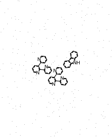 c1ccc(-c2cccnc2-c2ccccn2)nc1.c1ccc(-c2cccnc2-c2ccccn2)nc1.c1ccc2c(c1)[nH]c1ccccc12